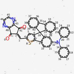 O=C1C(=Cc2cc3c(s2)-c2ccc(N(c4ccccc4)c4ccccc4)cc2C32c3ccccc3-c3ccccc32)C(=O)c2nccnc21